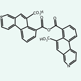 O=C(O)c1cc2cnccc2c2cccc(C(=O)OC(=O)c3cccc4c3c(C(=O)O)cc3cnccc34)c12